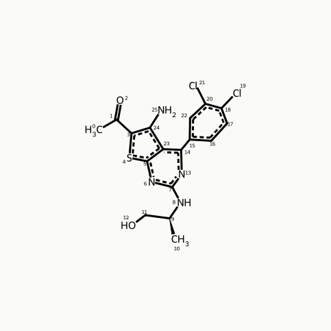 CC(=O)c1sc2nc(N[C@@H](C)CO)nc(-c3ccc(Cl)c(Cl)c3)c2c1N